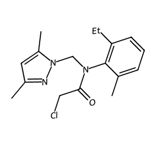 CCc1cccc(C)c1N(Cn1nc(C)cc1C)C(=O)CCl